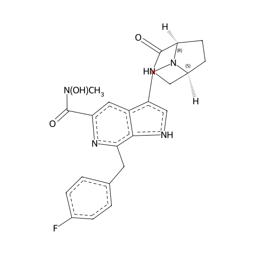 CN(O)C(=O)c1cc2c(CN3[C@H]4CC[C@@H]3C(=O)NC4)c[nH]c2c(Cc2ccc(F)cc2)n1